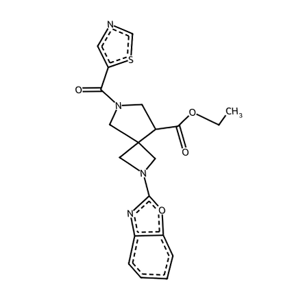 CCOC(=O)C1CN(C(=O)c2cncs2)CC12CN(c1nc3ccccc3o1)C2